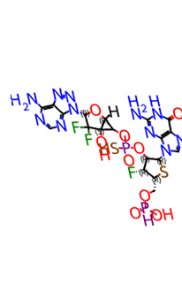 Nc1nc2c(ncn2[C@@H]2S[C@H](CO[PH](=O)O)[C@H](F)[C@H]2OP(=O)(S)OC2[C@H]3O[C@@H](n4nnc5c(N)ncnc54)C(F)(F)[C@@]23O)c(=O)[nH]1